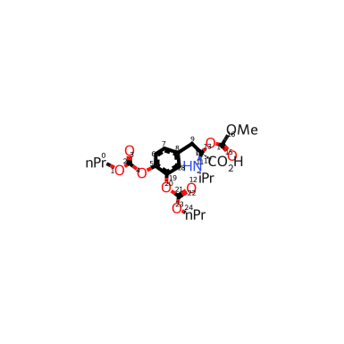 CCCOC(=O)Oc1ccc(C[C@](NC(C)C)(OC(=O)OC)C(=O)O)cc1OC(=O)OCCC